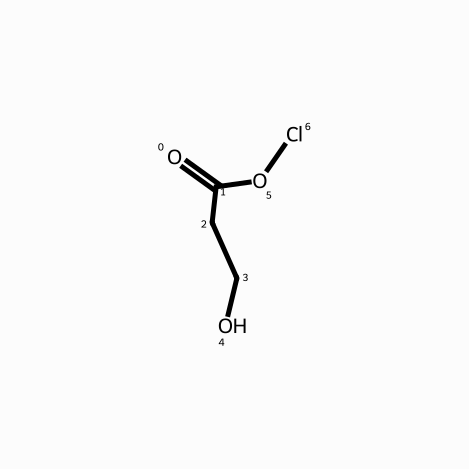 O=C(CCO)OCl